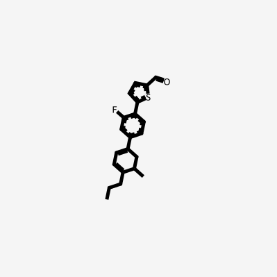 CCCC1=CC=C(c2ccc(-c3ccc(C=O)s3)c(F)c2)CC1C